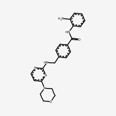 Nc1ccccc1NC(=O)c1ccc(CNc2nccc(N3CCOCC3)n2)cc1